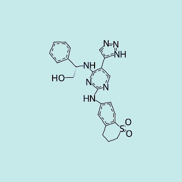 O=S1(=O)CCCc2cc(Nc3ncc(-c4cnn[nH]4)c(N[C@H](CO)c4ccccc4)n3)ccc21